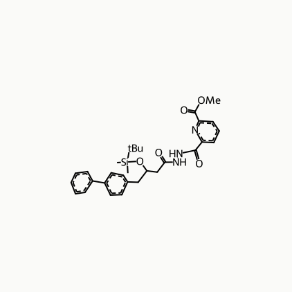 COC(=O)c1cccc(C(=O)NNC(=O)CC(Cc2ccc(-c3ccccc3)cc2)O[Si](C)(C)C(C)(C)C)n1